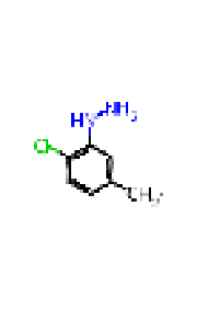 [CH2]c1ccc(Cl)c(NN)c1